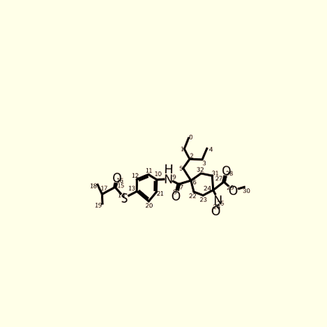 CCC(CC)CC1(C(=O)Nc2ccc(SC(=O)C(C)C)cc2)CCC(N=O)(C(=O)OC)CC1